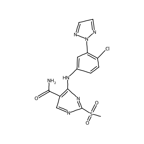 CS(=O)(=O)c1ncc(C(N)=O)c(Nc2ccc(Cl)c(-n3nccn3)c2)n1